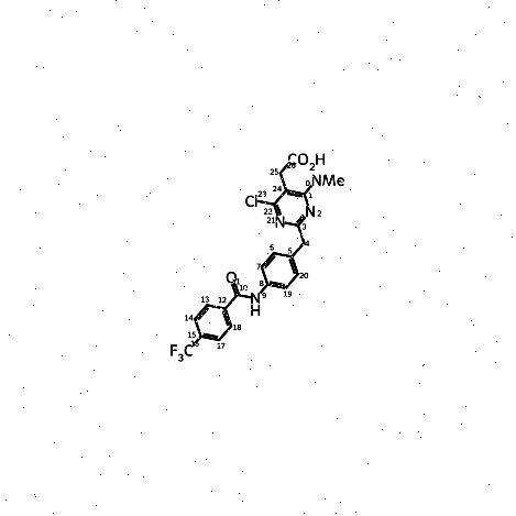 CNc1nc(Cc2ccc(NC(=O)c3ccc(C(F)(F)F)cc3)cc2)nc(Cl)c1CC(=O)O